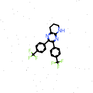 FC(F)(F)c1ccc(-c2nc3c(nc2-c2ccc(C(F)(F)F)cc2)NCCC3)cc1